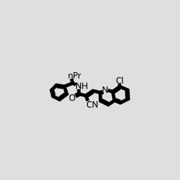 CCCC(NC(=O)/C(C#N)=C/c1ccc2cccc(Cl)c2n1)c1ccccc1